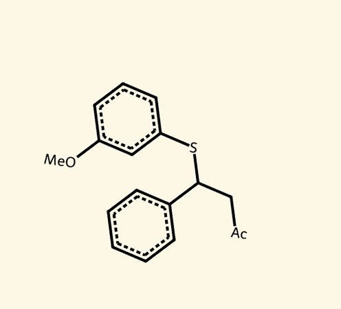 COc1cccc(SC(CC(C)=O)c2ccccc2)c1